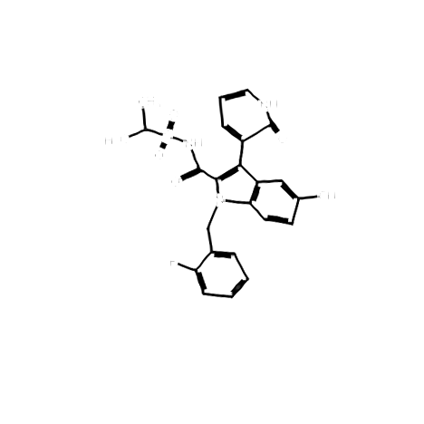 Cc1ccc2c(c1)c(-c1ccc[nH]c1=O)c(C(=O)NS(=O)(=O)C(C)C)n2Cc1ccccc1F